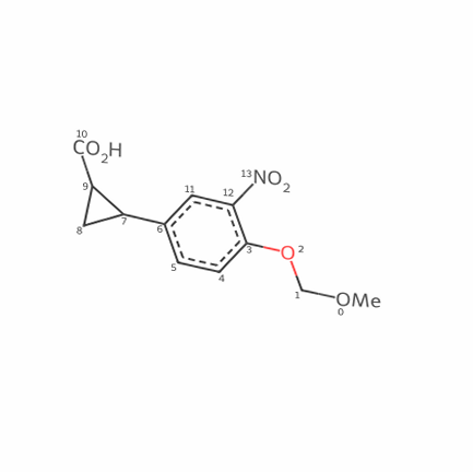 COCOc1ccc(C2CC2C(=O)O)cc1[N+](=O)[O-]